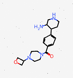 NC1CNCCC1c1ccc(C(=O)N2CCN(C3COC3)CC2)cc1